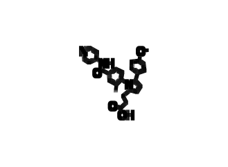 COc1ccc(-c2ccc(CCC(=O)O)n2-c2ccc(C(=O)Nc3ccncc3)cc2C)cc1